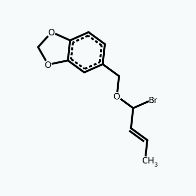 CC=CC(Br)OCc1ccc2c(c1)OCO2